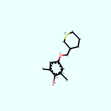 Cc1cc(OCC2CCCSC2)cc(C)c1Br